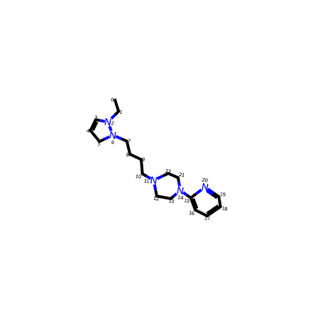 CCN1C=CCN1CCCCN1CCN(c2ccccn2)CC1